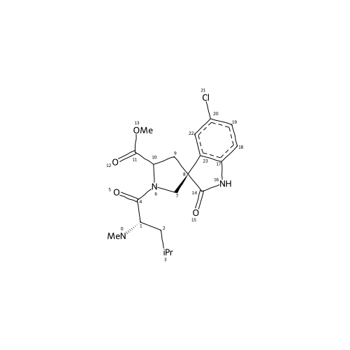 CN[C@@H](CC(C)C)C(=O)N1C[C@]2(CC1C(=O)OC)C(=O)Nc1ccc(Cl)cc12